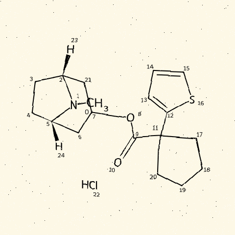 CN1[C@@H]2CC[C@H]1CC(OC(=O)C1(c3cccs3)CCCC1)C2.Cl